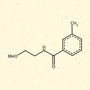 [CH2]c1cccc(C(=O)NCCOC)c1